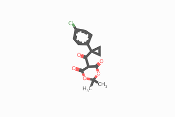 CC1(C)OC(=O)C(C(=O)C2(c3ccc(Cl)cc3)CC2)C(=O)O1